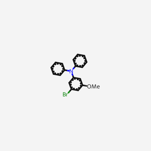 COc1cc(Br)cc(N(c2ccccc2)c2ccccc2)c1